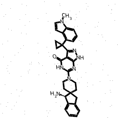 Cn1ccc2c(C3(c4n[nH]c5nc(N6CCC7(CC6)Cc6ccccc6[C@H]7N)[nH]c(=O)c45)CC3)cccc21